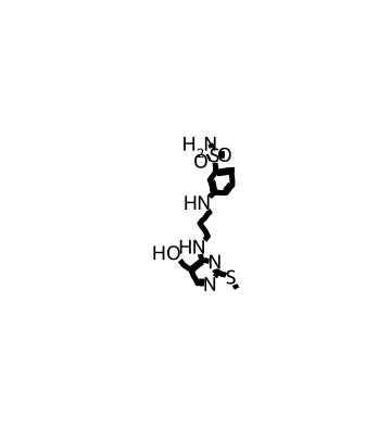 CSc1ncc(CO)c(NCCCNc2cccc(S(N)(=O)=O)c2)n1